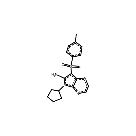 Cc1ccc(S(=O)(=O)c2c(N)n(C3CCCC3)c3nccnc23)cc1